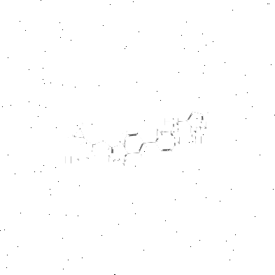 COC(Cc1nnc2cc(-c3ccnc(Nc4ccnn4C)n3)ccn12)C1CC1